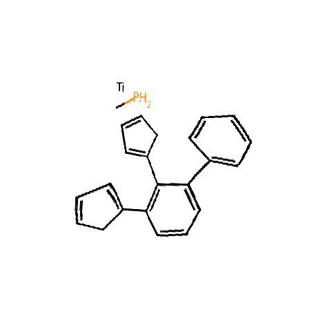 C1=CCC(c2cccc(-c3ccccc3)c2C2=CC=CC2)=C1.CP.[Ti]